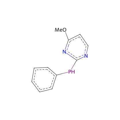 COc1ccnc(Pc2ccccc2)n1